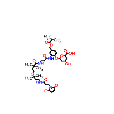 CC(C)C(=O)OCc1ccc(OC2CC(O)CC(C(=O)O)O2)c(NC(=O)CCNC(=O)C(C)(C)CCOC(C)(C)CCNC(=O)CCN2C(=O)C=CC2=O)c1